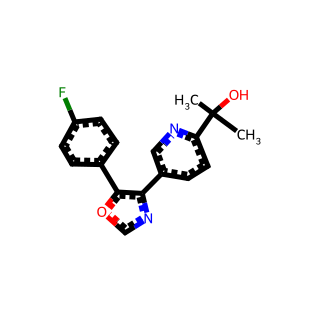 CC(C)(O)c1ccc(-c2ncoc2-c2ccc(F)cc2)cn1